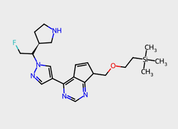 C[Si](C)(C)CCOCC1C=Cc2c(-c3cnn(C(CF)[C@H]4CCNC4)c3)ncnc21